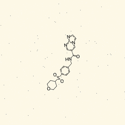 O=C(NCc1ccc(S(=O)(=O)C2CCOCC2)cc1)c1cnc2nccn2c1